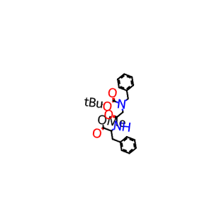 COC(=O)C(Cc1ccccc1)NC(=O)CN(Cc1ccccc1)C(=O)OC(C)(C)C